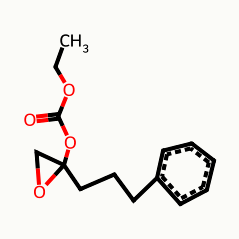 CCOC(=O)OC1(CCCc2ccccc2)CO1